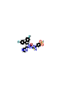 CS(=O)(=O)c1ccc(-c2nsc(NC(=O)N(CCc3cnccn3)CCC(c3ccc(F)cc3)c3ccc(F)cc3)n2)cc1